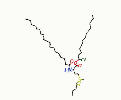 CCCCCCCCCCCCCCCCCC(=O)N[C@H](CC[SH](C)CCCC)C(=O)OC(Cl)CCCCCCCCCCC